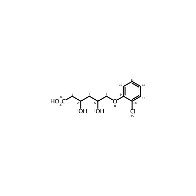 O=C(O)CC(O)CC(O)COc1ccccc1Cl